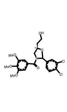 COc1cc(C(=O)N2C[C@@H](CCO)OC2c2ccc(Cl)c(Cl)c2)cc(OC)c1OC